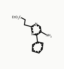 CCOC(=O)CCc1ncc(N)c(-c2ccccc2)n1